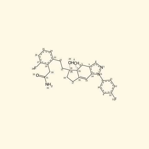 C[C@]12Cc3cnn(-c4ccc(F)cc4)c3C=C1CC[C@@]2(O)CCc1cccc(F)c1CC(N)=O